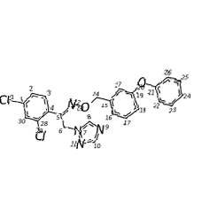 Clc1ccc(C(Cn2cncn2)=NOCc2cccc(Oc3ccccc3)c2)c(Cl)c1